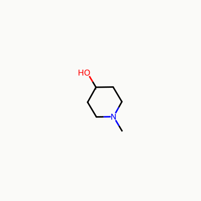 CN1CC[C](O)CC1